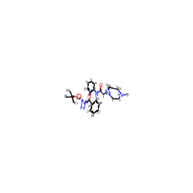 CN1CCN(CC(=O)N(c2ccccc2)c2ccccc2C(=O)NOC(C)(C)C)CC1